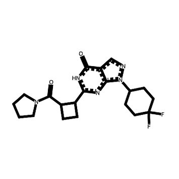 O=C(C1CCC1c1nc2c(cnn2C2CCC(F)(F)CC2)c(=O)[nH]1)N1CCCC1